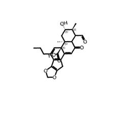 CCCC1=C[C@@]2(C(=O)O)C(=CC(=O)C3C(C=O)[C@H](C)[C@@H](O)C[C@@]32C)C2=C1C1=C(C2)OCO1